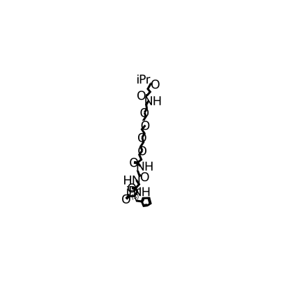 CC(C)C(=O)CCC(=O)NCCOCCOCCOCCOCCC(=O)NCC(=O)NCC(=O)N[C@@H](Cc1ccccc1)C(=O)C(C)C